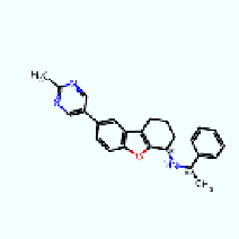 Cc1ncc(-c2ccc3oc4c(c3c2)CCC[C@H]4N[C@H](C)c2ccccc2)cn1